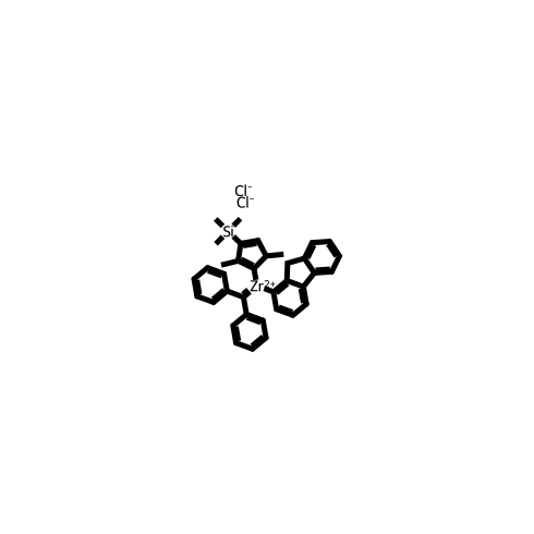 CC1=[C]([Zr+2](=[C](c2ccccc2)c2ccccc2)[c]2cccc3c2Cc2ccccc2-3)C(C)C=C1[Si](C)(C)C.[Cl-].[Cl-]